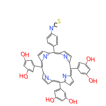 Oc1cc(O)cc(C2=C3C=CC(=N3)C(c3cc(O)cc(O)c3)=C3C=CC(=N3)C(c3cc(O)cc(O)c3)=C3C=CC(=N3)C(c3ccc(N=C=S)cc3)=C3C=CC2=N3)c1